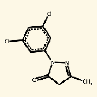 CC1=NN(c2cc(Cl)cc(Cl)c2)C(=O)C1